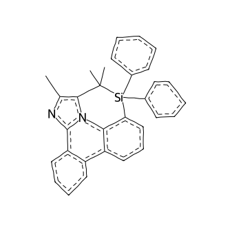 Cc1nc2c3ccccc3c3cccc4c3n2c1C(C)(C)[Si]4(c1ccccc1)c1ccccc1